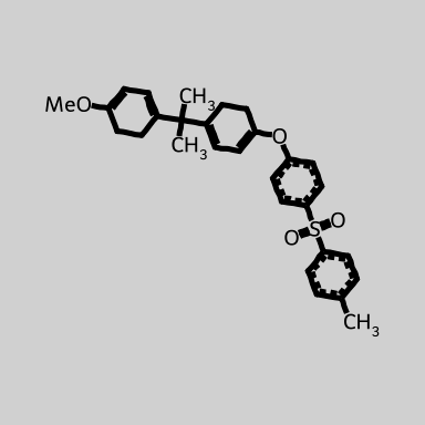 COC1=CC=C(C(C)(C)C2=CC=C(Oc3ccc(S(=O)(=O)c4ccc(C)cc4)cc3)CC2)CC1